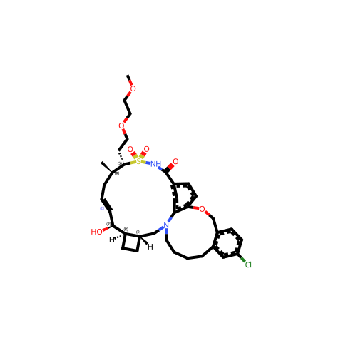 COCCOCC[C@H]1[C@H](C)C/C=C/[C@H](O)[C@@H]2CC[C@H]2CN2CCCCc3cc(Cl)ccc3COc3ccc(cc32)C(=O)NS1(=O)=O